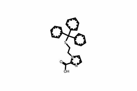 O=C(O)c1nccn1CCSC(c1ccccc1)(c1ccccc1)c1ccccc1